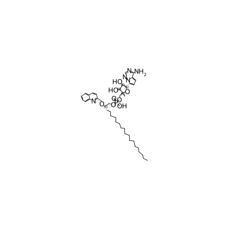 CCCCCCCCCCCCCCCCCC[C@@H](COP(=O)(O)OC[C@@]1(C)O[C@@H](c2ccc3c(N)ncnn23)[C@H](O)[C@@H]1O)OCc1ccc2ccccc2n1